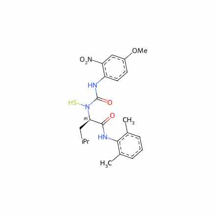 COc1ccc(NC(=O)N(S)[C@H](CC(C)C)C(=O)Nc2c(C)cccc2C)c([N+](=O)[O-])c1